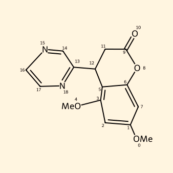 COc1cc(OC)c2c(c1)OC(=O)CC2c1cnccn1